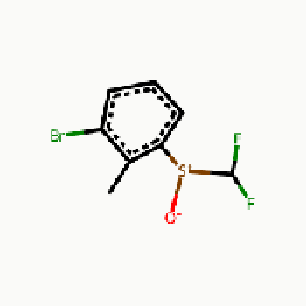 Cc1c(Br)cccc1[S+]([O-])C(F)F